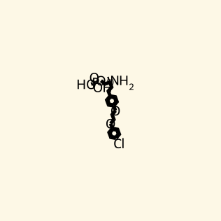 C[C@@](N)(CCc1ccc(OCCOc2ccc(Cl)cc2)cc1)COP(=O)(O)O